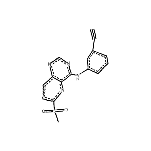 C#Cc1cccc(Nc2ncnc3cnc(S(C)(=O)=O)nc23)c1